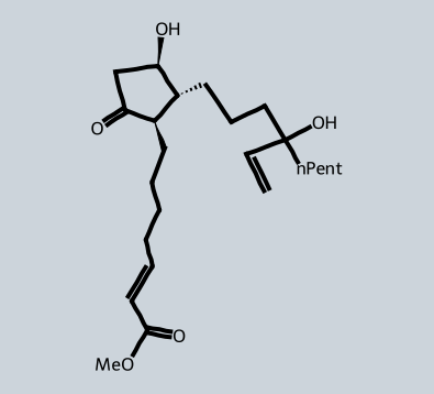 C=CC(O)(CCCCC)CCC[C@H]1[C@H](O)CC(=O)[C@@H]1CCCCC=CC(=O)OC